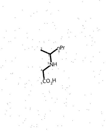 CCCC(C)NCC(=O)O